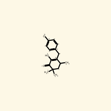 CC1CC(C)(C)C(=O)C(O)=C1Cc1ccc(Cl)cc1